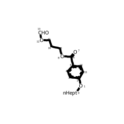 CCCCCCCOc1ccc(C(=O)OCCCOC=O)cc1